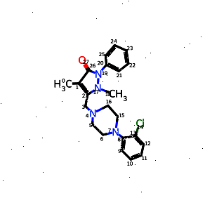 Cc1c(CN2CCN(c3ccccc3Cl)CC2)n(C)n(-c2ccccc2)c1=O